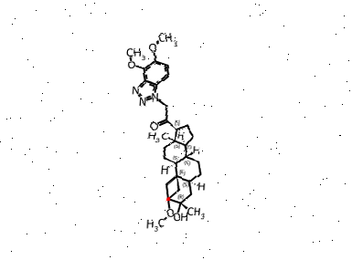 COCC[C@]12CC[C@@](C)(O)C[C@@H]1CC[C@H]1[C@@H]3CC[C@H](C(=O)Cn4nnc5c(OC)c(OC)ccc54)[C@@]3(C)CC[C@@H]12